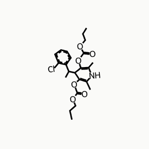 CCCOC(=O)OC1=C(C)NC(C)=C(OC(=O)OCCC)C1C(C)c1ccccc1Cl